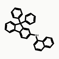 c1ccc(C2(c3ccccc3)c3ccccc3-c3ccc(Nc4cccc5ccccc45)cc32)cc1